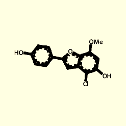 COc1cc(O)c(Cl)c2cc(-c3ccc(O)cc3)oc12